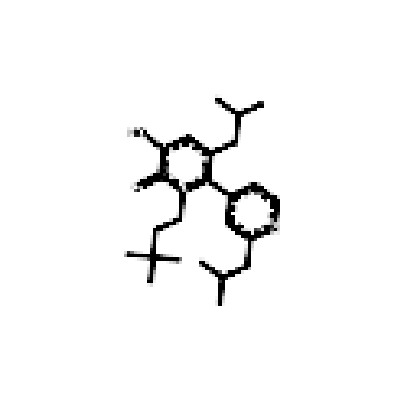 CC(C)Cc1cc(-c2c(CC(C)C)cc(O)c(=O)n2CCC(C)(C)C)ccn1